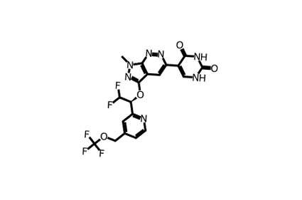 Cn1nc(O[C@@H](c2cc(COC(F)(F)F)ccn2)C(F)F)c2cc(-c3c[nH]c(=O)[nH]c3=O)nnc21